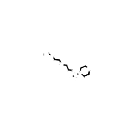 C=S(=O)(NCCOCCOC(C)C)N1CCOCC1